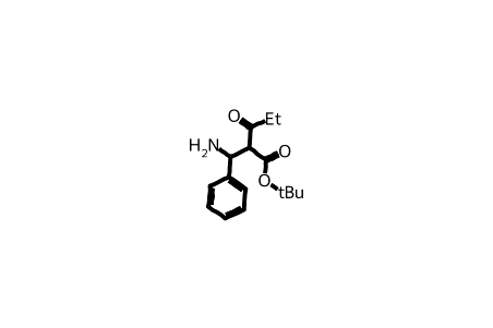 CCC(=O)C(C(=O)OC(C)(C)C)C(N)c1ccccc1